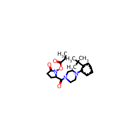 CCC(=O)ON1C(=O)CCC1C(=O)N1CCN(c2ccccc2C(C)(C)C)CC1